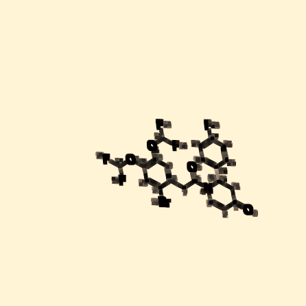 O=C1C=CN(C(=O)Cc2cc(OC(F)F)c(OC(F)F)cc2Br)[C@H](c2ccc(F)cc2)C1